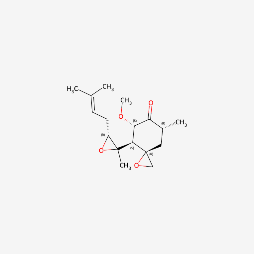 CO[C@@H]1C(=O)[C@H](C)C[C@]2(CO2)[C@H]1C1(C)O[C@@H]1CC=C(C)C